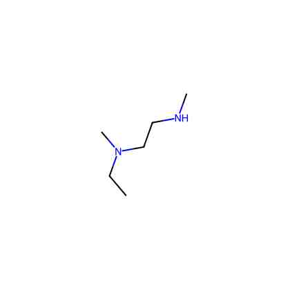 CCN(C)CCNC